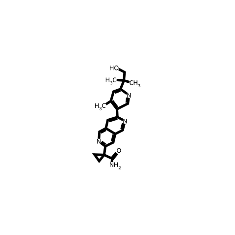 Cc1cc(C(C)(C)CO)ncc1-c1cc2cnc(C3(C(N)=O)CC3)cc2cn1